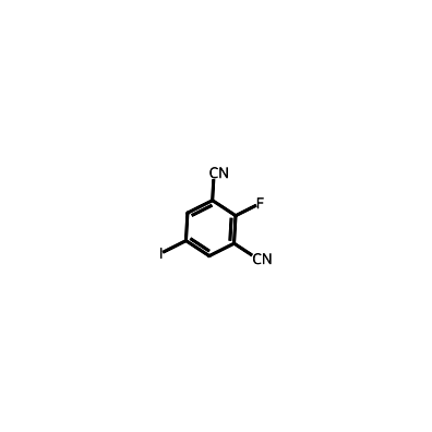 N#Cc1cc(I)cc(C#N)c1F